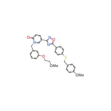 COCCOc1cccc(Cn2cc(-c3noc(-c4ccc(SCc5ccc(OC)cc5)cc4)n3)ccc2=O)c1